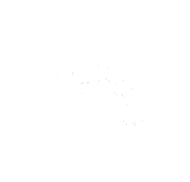 CC(C)(C)OC(=O)C(O)[C@H]1OC(C)(C)CN(c2ccn(-c3cnnc(Cl)c3)n2)C1=O